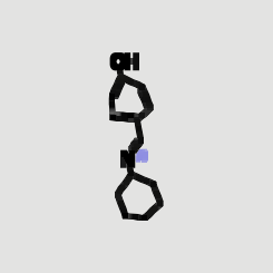 Oc1ccc(/C=N/C2CCCCC2)cc1